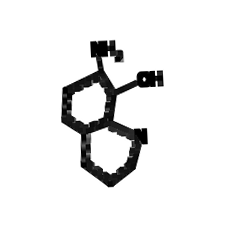 Nc1ccc2cccnc2c1O